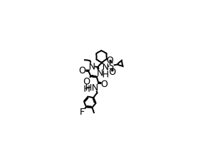 CCn1c(C2(NS(=O)(=O)C3CC3)CCCCC2)nc(C(=O)NCc2ccc(F)c(C)c2)c(O)c1=O